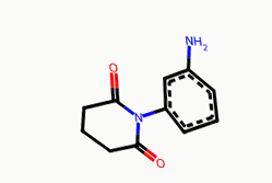 Nc1cccc(N2C(=O)CCCC2=O)c1